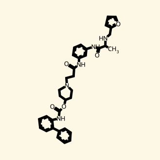 CC(NCc1ccco1)C(=O)Nc1cccc(NC(=O)CCN2CCC(OC(=O)Nc3ccccc3-c3ccccc3)CC2)c1